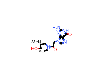 CN[C@@H](CO)CN(CC(C)=O)C(=O)Cn1cnc2c(=O)[nH]c(N)nc21